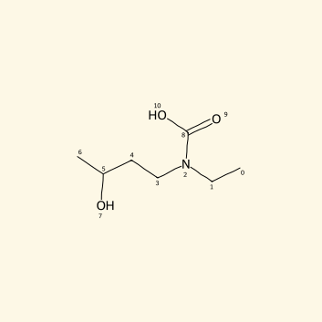 CCN(CCC(C)O)C(=O)O